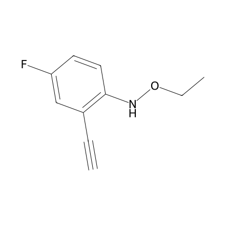 C#Cc1cc(F)ccc1NOCC